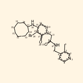 Cc1cnccc1CNC(=O)Cn1ncc(NC2CCCCCCC2)c(Br)c1=O